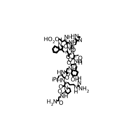 CC(C)C[C@H](NC(=O)CNC(=O)[C@H](Cc1ccc(O)cc1)NC(=O)[C@H](CO)NC(=O)[C@H](Cc1c[nH]c2ccccc12)NC(=O)[C@H](Cc1c[nH]cn1)NC(=O)[C@@H](N)CCC(=O)O)C(=O)N[C@@H](CCCNC(=N)N)C(=O)N1CCC[C@H]1C(=O)NCC(N)=O